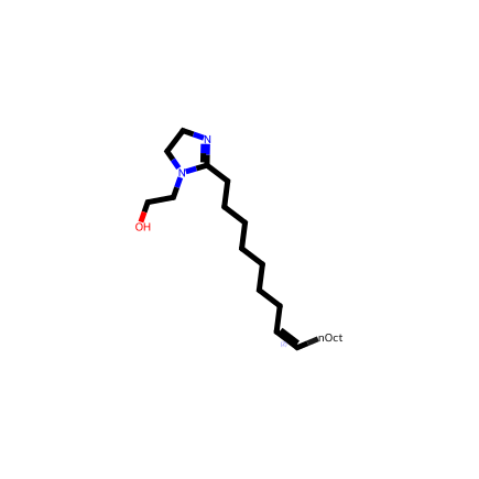 CCCCCCCC/C=C\CCCCCCCC1=NCCN1CCO